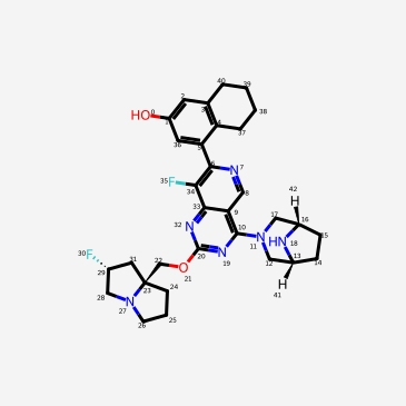 Oc1cc2c(c(-c3ncc4c(N5C[C@H]6CC[C@@H](C5)N6)nc(OC[C@@]56CCCN5C[C@H](F)C6)nc4c3F)c1)CCCC2